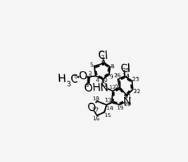 COC(=O)c1cc(Cl)ccc1Nc1c(C2CCOC2)cnc2ccc(Cl)cc12